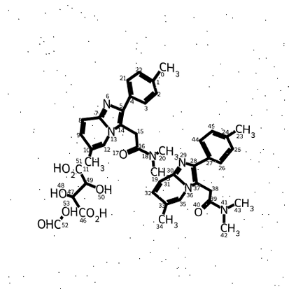 Cc1ccc(-c2nc3ccc(C)cn3c2CC(=O)N(C)C)cc1.Cc1ccc(-c2nc3ccc(C)cn3c2CC(=O)N(C)C)cc1.O=C(O)C(O)C(O)C(=O)O.O=CO